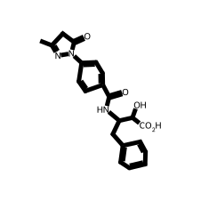 CC1=NN(c2ccc(C(=O)NC(Cc3ccccc3)C(O)C(=O)O)cc2)C(=O)C1